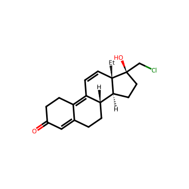 CC[C@]12C=CC3=C4CCC(=O)C=C4CC[C@H]3[C@@H]1CC[C@@]2(O)CCl